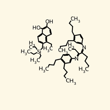 CCCCC(=Nc1ccc(CCCC)c(CCCC)c1)C(CC)=Nc1ccc(CCCC)c(CCCC)c1.CCc1c(C[Si](CC)(CC)CC)ccc2c(O)c(O)ccc12